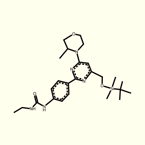 CCNC(=O)Nc1ccc(-c2nc(CO[Si](C)(C)C(C)(C)C)cc(N3CCOCC3C)n2)cc1